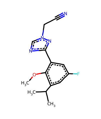 COc1c(-c2ncn(CC#N)n2)cc(F)cc1C(C)C